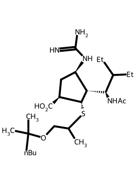 CCCCC(C)(C)OCC(C)S[C@H]1[C@@H]([C@H](NC(C)=O)C(CC)CC)[C@H](NC(=N)N)C[C@@H]1C(=O)O